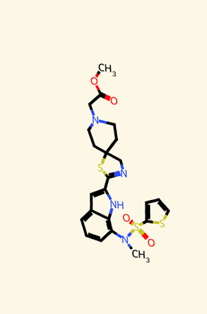 COC(=O)CN1CCC2(CC1)CN=C(c1cc3cccc(N(C)S(=O)(=O)c4cccs4)c3[nH]1)S2